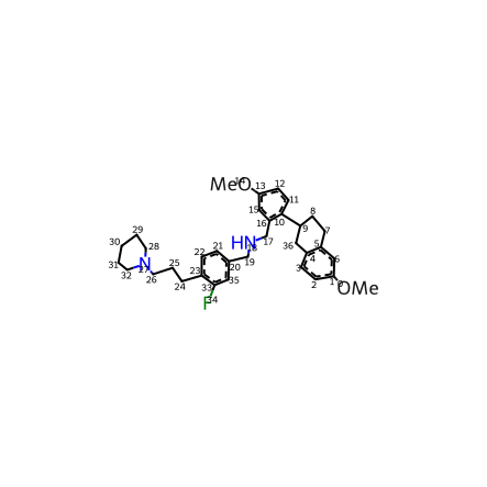 COc1ccc2c(c1)CCC(c1ccc(OC)cc1CNCc1ccc(CCCN3CCCCC3)c(F)c1)C2